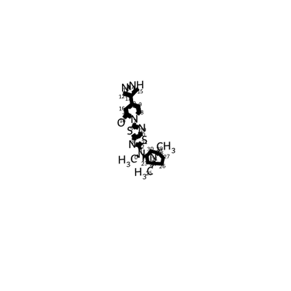 CN(c1nc2sc(-n3ccc(-c4cn[nH]c4)cc3=O)nc2s1)C1C[C@]2(C)CC[C@](C)(C1)N2